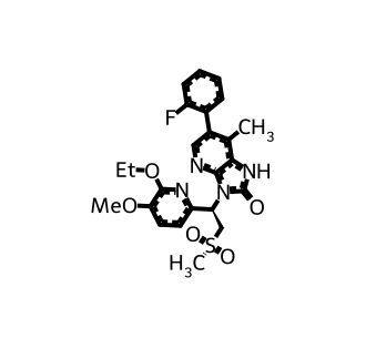 CCOc1nc([C@H](CS(C)(=O)=O)n2c(=O)[nH]c3c(C)c(-c4ccccc4F)cnc32)ccc1OC